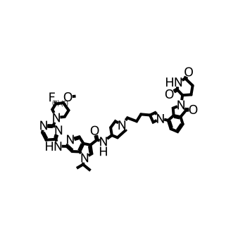 CO[C@H]1CCN(c2nccc(Nc3cc4c(cn3)c(C(=O)NC3CCN(CCCC5CN(c6cccc7c6CN(C6CCC(=O)NC6=O)C7=O)C5)CC3)cn4C(C)C)n2)C[C@H]1F